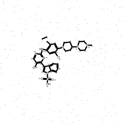 CC.Cc1cc(N2CCC(N3CCN(C)CC3)CC2)c(Cl)cc1Nc1ncc(Cl)c(-c2cn(S(=O)(=O)O)c3ccccc23)n1